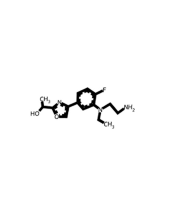 CCN(CCN)c1cc(-c2coc(C(C)O)n2)ccc1F